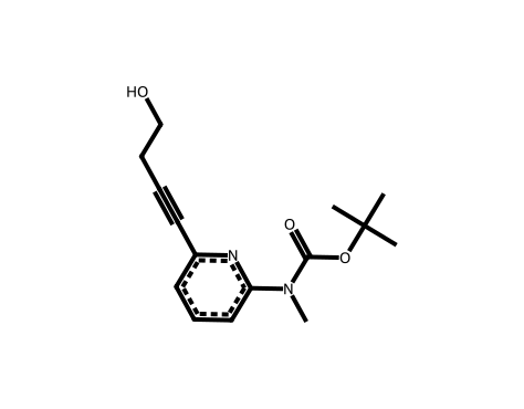 CN(C(=O)OC(C)(C)C)c1cccc(C#CCCO)n1